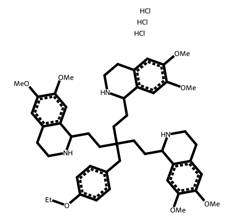 CCOc1ccc(CC(CCC2NCCc3cc(OC)c(OC)cc32)(CCC2NCCc3cc(OC)c(OC)cc32)CCC2NCCc3cc(OC)c(OC)cc32)cc1.Cl.Cl.Cl